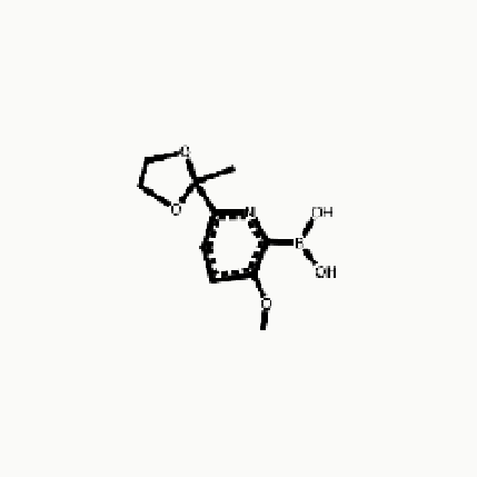 COc1ccc(C2(C)OCCO2)nc1B(O)O